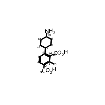 Cc1c(C(=O)O)ccc(C2CCC(N)CC2)c1C(=O)O